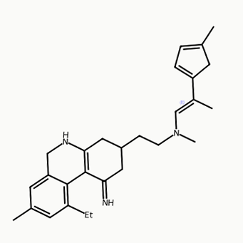 CCc1cc(C)cc2c1C1=C(CC(CCN(C)/C=C(\C)C3=CC=C(C)C3)CC1=N)NC2